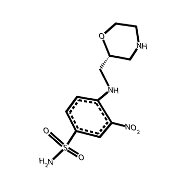 NS(=O)(=O)c1ccc(NC[C@H]2CNCCO2)c([N+](=O)[O-])c1